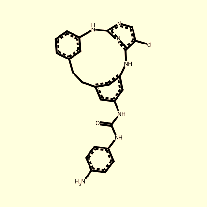 Nc1ccc(NC(=O)Nc2cc3cc(c2)Nc2nc(ncc2Cl)Nc2cccc(c2)CC3)cc1